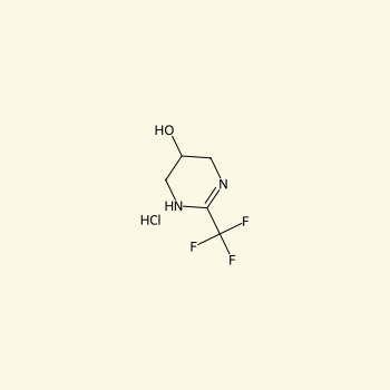 Cl.OC1CN=C(C(F)(F)F)NC1